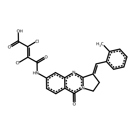 Cc1ccccc1C=C1CCn2c1nc1cc(NC(=O)C(Cl)=C(Cl)C(=O)O)ccc1c2=O